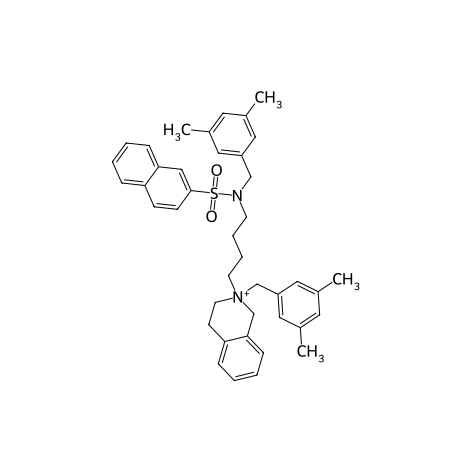 Cc1cc(C)cc(CN(CCCC[N+]2(Cc3cc(C)cc(C)c3)CCc3ccccc3C2)S(=O)(=O)c2ccc3ccccc3c2)c1